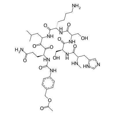 CNC(Cc1cnc[nH]1)C(=O)N[C@@H](CO)C(=O)NC(CO)C(=O)N[C@@H](CCCCN)C(=O)NC(CC(C)C)C(=O)C(=O)[C@H](CCC(N)=O)NC(=O)Nc1ccc(COC(C)=O)cc1